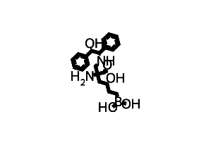 NC(CCCCB(O)O)(CN[C@@H](c1ccccc1)[C@@H](O)c1ccccc1)C(=O)O